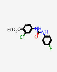 CCOC(=O)c1ccc(NC(=O)Nc2ccc(F)cc2)cc1Cl